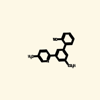 Cc1ccc(-c2cc(C(=O)O)cc(-c3ccccc3C#N)c2)nc1